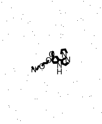 COc1cc2c(cc1OCCOCCN(C)C)[nH]c1ccnc(N3CCCC3)c12